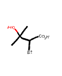 CCC(C(=O)O)C(C)(C)O